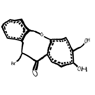 O=C1c2cc(O)c(O)cc2Oc2ccccc2C1Br